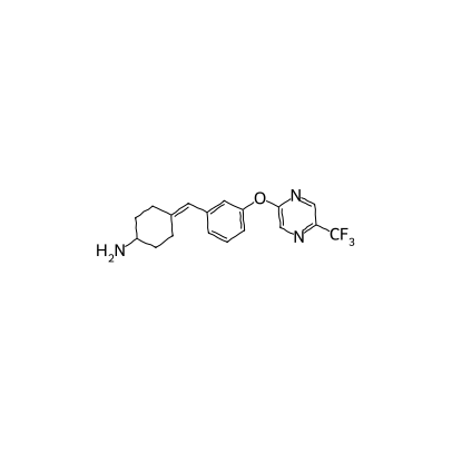 NC1CCC(=Cc2cccc(Oc3cnc(C(F)(F)F)cn3)c2)CC1